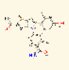 CCC(=O)c1cc2c(cc(-c3ccc(O)cc3C)n2-c2ccc(C(N)=O)c(C)c2)s1